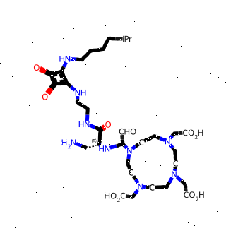 CC(C)CCCCNc1c(NCCNC(=O)[C@@H](CN)NC(C=O)N2CCN(CC(=O)O)CCN(CC(=O)O)CCN(CC(=O)O)CC2)c(=O)c1=O